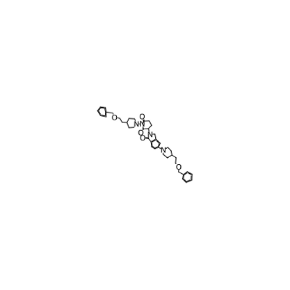 O=C1c2ccc(N3CCC(CCOCc4ccccc4)CC3)cc2CN1C1CCC(=O)N(N2CCC(CCOCc3ccccc3)CC2)C1=O